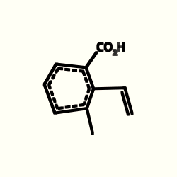 C=Cc1c(C)cccc1C(=O)O